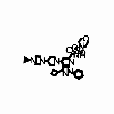 O=C(NS(=O)(=O)N1CCOCC1)c1cc(N2CCC(N3CCN(C4CC4)CC3)CC2)c2c(C3CCC3)nn(-c3ccccc3)c2n1